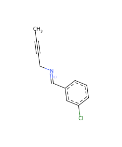 CC#CC/N=C/c1cccc(Cl)c1